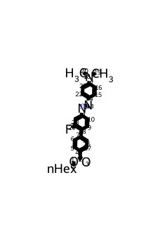 CCCCCCOC(=O)c1ccc(-c2ccc(/N=N/c3ccc(N(C)C)cc3)cc2F)cc1